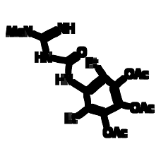 CCc1c(NC(=O)NC(=N)NC)c(CC)c(OC(C)=O)c(OC(C)=O)c1OC(C)=O